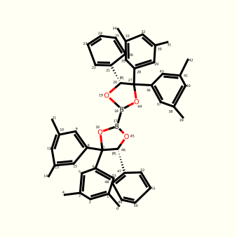 Cc1cc(C)cc(C2(c3cc(C)cc(C)c3)OB(B3O[C@H](c4ccccc4)C(c4cc(C)cc(C)c4)(c4cc(C)cc(C)c4)O3)O[C@@H]2c2ccccc2)c1